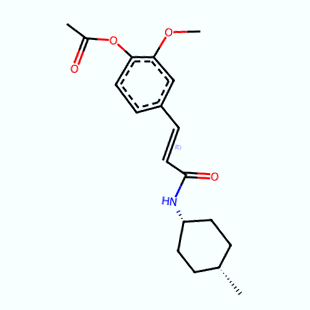 COc1cc(/C=C/C(=O)N[C@H]2CC[C@@H](C)CC2)ccc1OC(C)=O